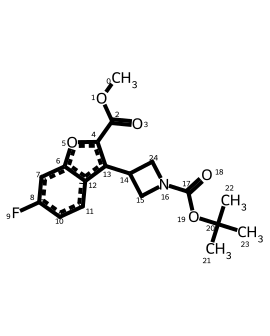 COC(=O)c1oc2cc(F)ccc2c1C1CN(C(=O)OC(C)(C)C)C1